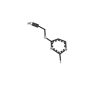 C#CCOc1ccnc(I)n1